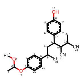 CCOC(C)Oc1ccc(C(CC)CC(c2ccc(O)cc2)C(C#N)C(C)C#N)cc1